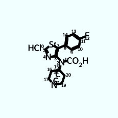 Cl.O=C(O)N(c1ncsc1-c1ccc(F)cc1)C12CCN(CC1)CC2